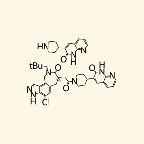 CC(C)(C)CN1Cc2c(cc(Cl)c3[nH]ncc23)C[C@@H](CC(=O)N2CCC(c3cc4cccnc4[nH]c3=O)CC2)C1=O.O=c1[nH]c2ncccc2cc1C1CCNCC1